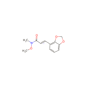 CON(C)C(=O)/C=C/c1cccc2c1OCO2